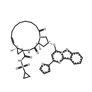 O=C1N[C@]2(C(=O)NS(=O)(=O)C3CC3)C[C@H]2/C=C\CCCCCCC(=O)N2C[C@H](Oc3cc(-c4ccco4)nc4c5ccccc5nn34)C[C@@H]12